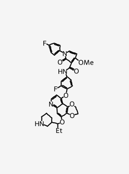 CCC(Oc1cc2nccc(Oc3ccc(NC(=O)c4c(OC)ccn(-c5ccc(F)cc5)c4=O)cc3F)c2c2c1OCCO2)C1CCCNC1